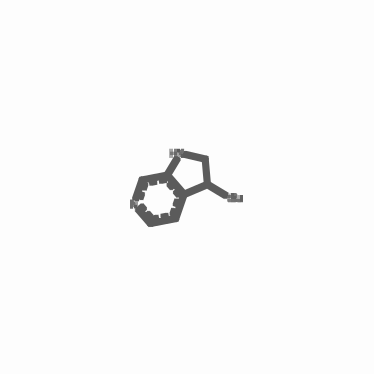 CC(C)(C)C1CNc2cnccc21